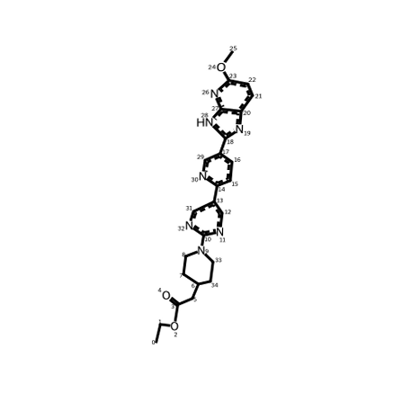 CCOC(=O)CC1CCN(c2ncc(-c3ccc(-c4nc5ccc(OC)nc5[nH]4)cn3)cn2)CC1